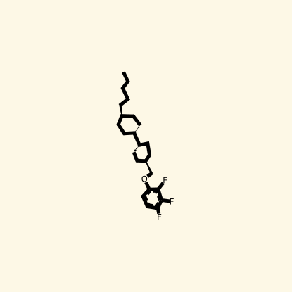 CCCCC[C@H]1CC[C@H]([C@H]2CC[C@H](COc3ccc(F)c(F)c3F)CC2)CC1